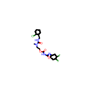 CN(CCOC(=O)Nc1nc2cc(F)c(F)cc2o1)C(=O)NCc1ccccc1Cl